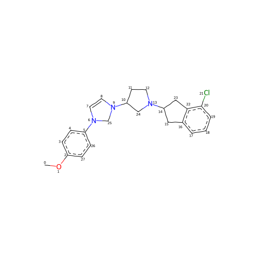 COc1ccc(N2C=CN(C3CCN(C4Cc5cccc(Cl)c5C4)C3)C2)cc1